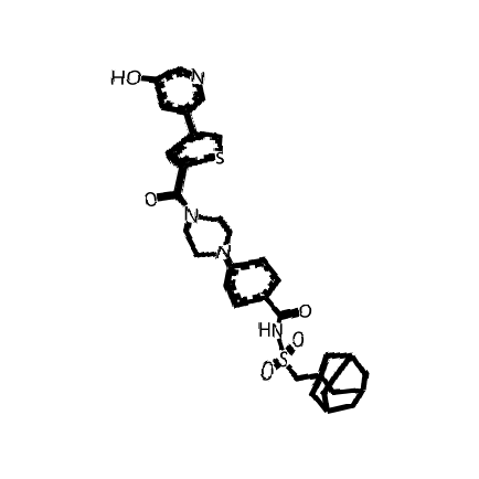 O=C(NS(=O)(=O)CC12CC3CC(CC(C3)C1)C2)c1ccc(N2CCN(C(=O)c3cc(-c4cncc(O)c4)cs3)CC2)cc1